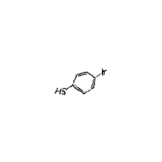 Sc1cc[c]([Ir])cc1